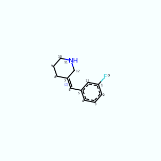 Fc1cccc(/C=C2/CCCNC2)c1